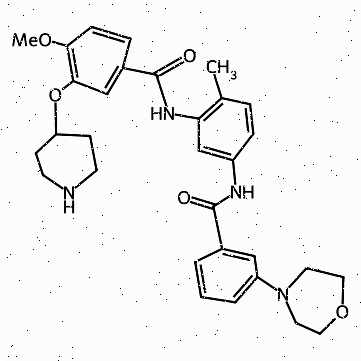 COc1ccc(C(=O)Nc2cc(NC(=O)c3cccc(N4CCOCC4)c3)ccc2C)cc1OC1CCNCC1